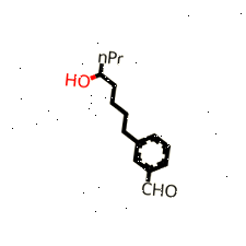 CCCC(O)CCCCc1cccc(C=O)c1